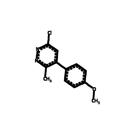 COc1ccc(-c2cc(Cl)nnc2C)cc1